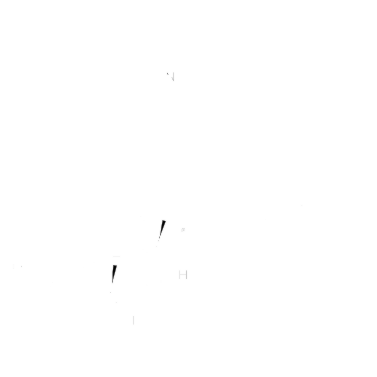 CCOC1=CC2=CC[C@@H]3[C@H]([C@@H](c4ccc(N(C)C)cc4)C[C@]4(C)C(=O)CC[C@@H]34)[C@H]2CC1